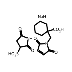 O=C1C=CC(=O)N1CC1(C(=O)O)CCCCC1.O=C1CC(S(=O)(=O)O)C(=O)N1.[NaH]